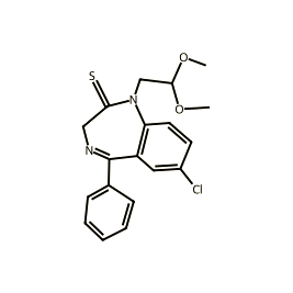 COC(CN1C(=S)CN=C(c2ccccc2)c2cc(Cl)ccc21)OC